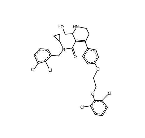 O=C(C1=C(c2ccc(OCCOc3c(Cl)cccc3Cl)cc2)CCNC1CO)N(Cc1cccc(Cl)c1Cl)C1CC1